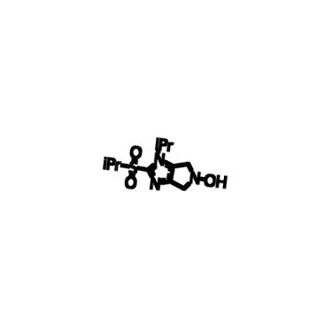 CC(C)n1c(S(=O)(=O)C(C)C)nc2c1CN(O)C2